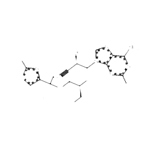 C#C[C@@H](O)[C@@H](O[C@@H](CO)CO[C@@](C)(C(=O)O)c1csc(C(=O)O)n1)n1cnc2c(N)nc(Cl)nc21